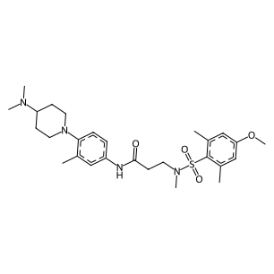 COc1cc(C)c(S(=O)(=O)N(C)CCC(=O)Nc2ccc(N3CCC(N(C)C)CC3)c(C)c2)c(C)c1